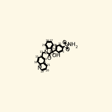 NS(=O)(=O)c1ccc(C2(O)C(=O)N(Cc3ccc4ncccc4c3)c3ccccc32)cc1